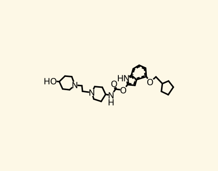 O=C(NC1CCN(CCN2CCC(O)CC2)CC1)Oc1cc2c(OCC3CCCC3)cccc2[nH]1